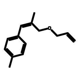 C=CCOCC(C)=Cc1ccc(C)cc1